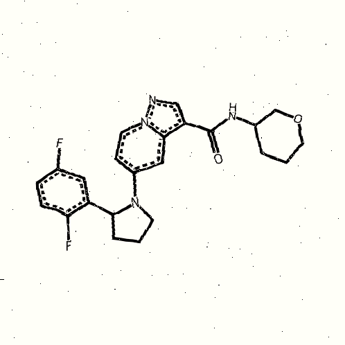 O=C(NC1CCCOC1)c1cnn2ccc(N3CCCC3c3cc(F)ccc3F)cc12